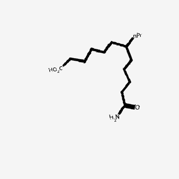 CCCC(CCCCCC(=O)O)CCCCC(N)=O